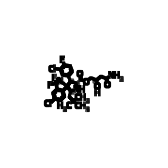 CC(C)(C)C[C@@H]1N[C@@H](C(=O)OC[C@@H](O)CC(N)=O)[C@H](c2ccc(F)c(Cl)c2)[C@@]1(C#N)c1ccc(Cl)cc1C(F)(F)F